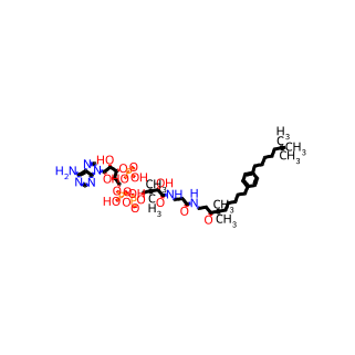 CC(C)(C)CCCCCc1ccc(CCCCCC(C)(C)C(=O)CCNC(=O)CCNC(=O)C(O)C(C)(C)COP(=O)(O)OP(=O)(O)OCC2OC(n3cnc4c(N)ncnc43)C(O)C2OP(=O)(O)O)cc1